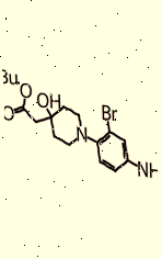 CC(C)(C)OC(=O)CC1(O)CCN(c2ccc(N)cc2Br)CC1